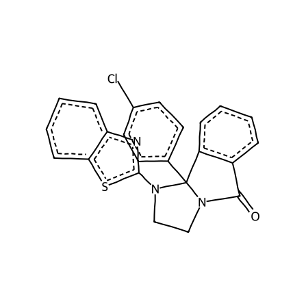 O=C1c2ccccc2C2(c3ccc(Cl)cc3)N1CCN2c1nc2ccccc2s1